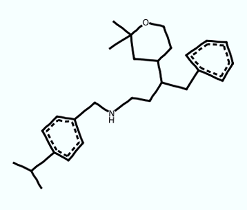 CC(C)c1ccc(CNCCC(Cc2ccccc2)C2CCOC(C)(C)C2)cc1